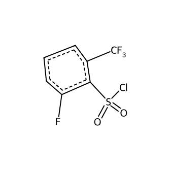 O=S(=O)(Cl)c1c(F)cccc1C(F)(F)F